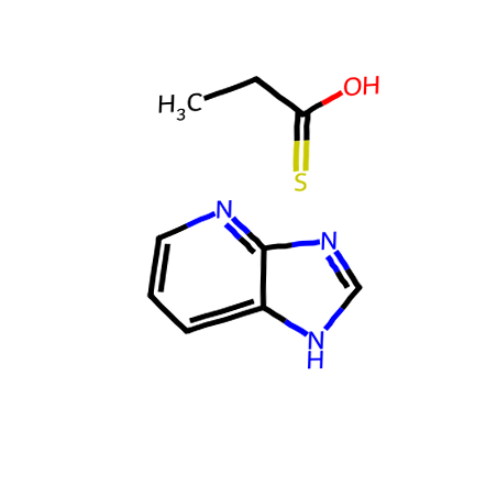 CCC(O)=S.c1cnc2nc[nH]c2c1